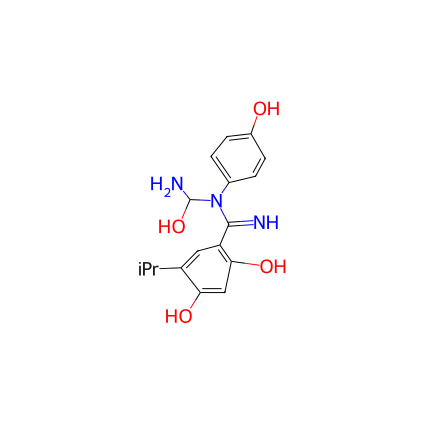 CC(C)c1cc(C(=N)N(c2ccc(O)cc2)C(N)O)c(O)cc1O